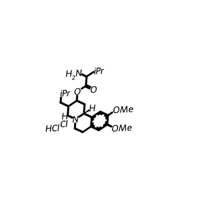 COc1cc2c(cc1OC)[C@H]1CC(OC(=O)C(N)C(C)C)C(CC(C)C)CN1CC2.Cl.Cl